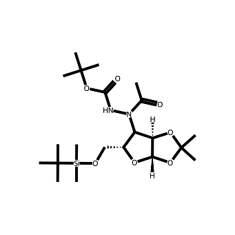 CC(=O)N(NC(=O)OC(C)(C)C)C1[C@H]2OC(C)(C)O[C@@H]2O[C@@H]1CO[Si](C)(C)C(C)(C)C